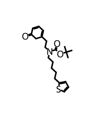 CC(C)(C)OC(=O)N(CCCCCc1cccs1)CCC1=CC=CC(=O)C1